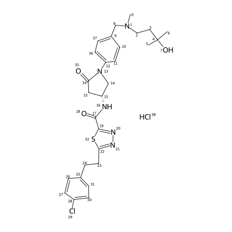 CN(CCC(C)(C)O)Cc1ccc(N2C[C@H](NC(=O)c3nnc(CCc4ccc(Cl)cc4)s3)CC2=O)cc1.Cl